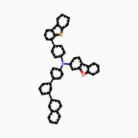 c1cc(-c2ccc(N(c3ccc(-c4cccc5c4sc4ccccc45)cc3)c3ccc4c(c3)oc3ccccc34)cc2)cc(-c2ccc3ccccc3c2)c1